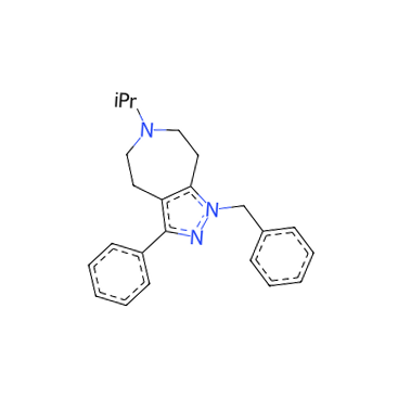 CC(C)N1CCc2c(-c3ccccc3)nn(Cc3ccccc3)c2CC1